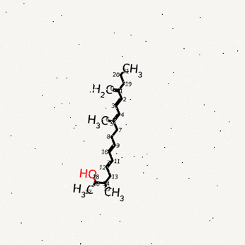 C=C(/C=C/C=C(\C)CC/C=C/C=C/CC(C)C(C)O)CCC